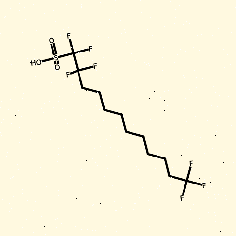 O=S(=O)(O)C(F)(F)C(F)(F)CCCCCCCCCC(F)(F)F